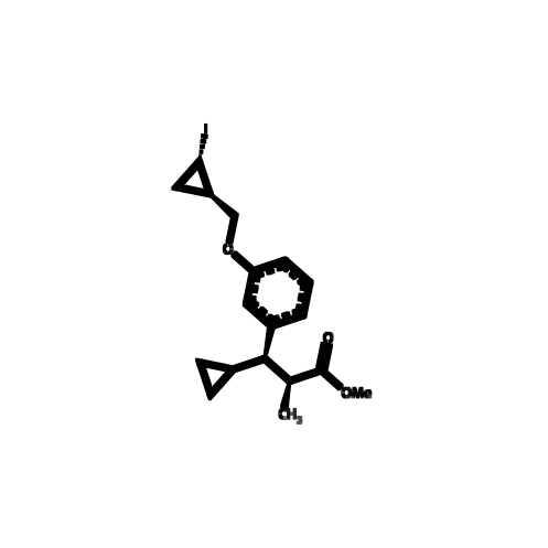 COC(=O)[C@@H](C)[C@H](c1cccc(OC[C@H]2C[C@@H]2I)c1)C1CC1